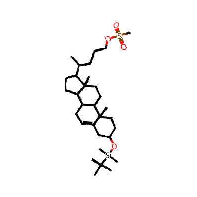 CC(CCCOS(C)(=O)=O)C1CCC2C3CC=C4CC(O[Si](C)(C)C(C)(C)C)CCC4(C)C3CCC12C